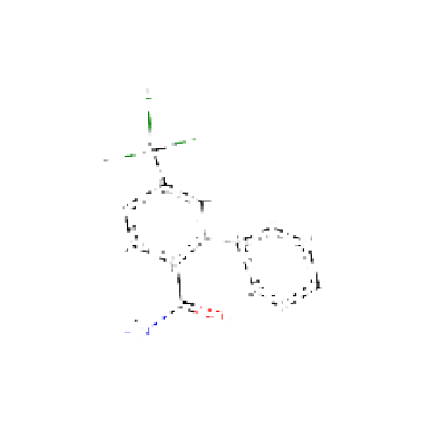 NC(=O)c1ccc(C(F)(F)F)cc1-c1ccccc1